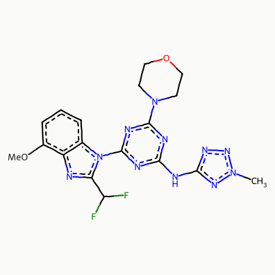 COc1cccc2c1nc(C(F)F)n2-c1nc(Nc2nnn(C)n2)nc(N2CCOCC2)n1